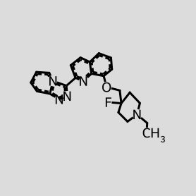 CCN1CCC(F)(COc2cccc3ccc(-c4nnc5ccccn45)nc23)CC1